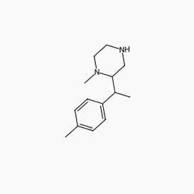 Cc1ccc(C(C)C2CNCCN2C)cc1